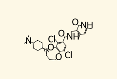 Cc1cc(C)c(CNC(=O)c2cc(Cl)c3c(c2Cl)O[C@H](C2CCC(N(C)C)CC2)CCCO3)c(=O)[nH]1